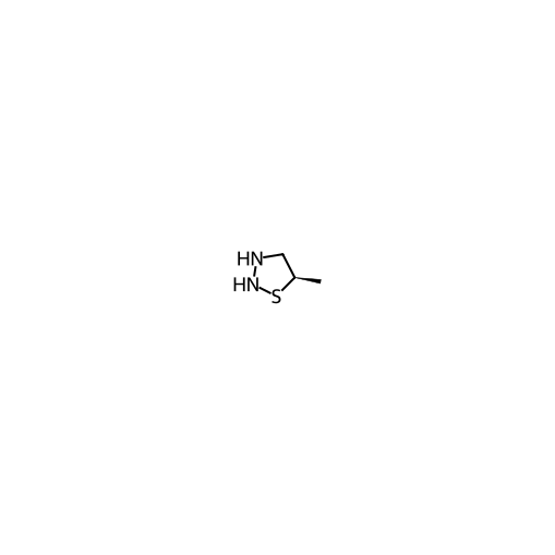 C[C@@H]1CNNS1